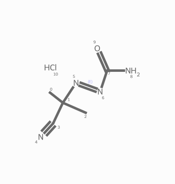 CC(C)(C#N)/N=N/C(N)=O.Cl